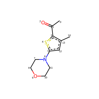 CC(=O)c1sc(N2CCOCC2)cc1C